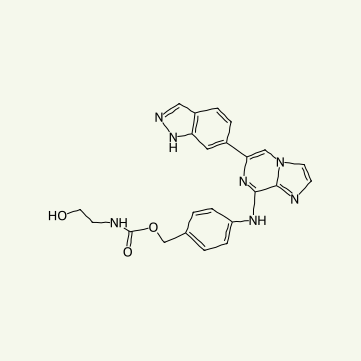 O=C(NCCO)OCc1ccc(Nc2nc(-c3ccc4cn[nH]c4c3)cn3ccnc23)cc1